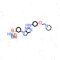 CC(C)(C)NS(=O)(=O)c1cccc(N2CCc3cnc(Nc4ccc(OCCN5CCCCC5)cc4)nc32)c1